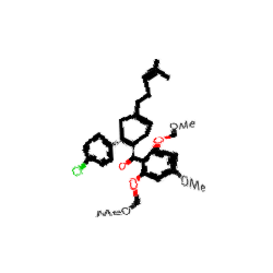 COCOc1cc(OC)cc(OCOC)c1C(=O)[C@@H]1CC=C(CCC=C(C)C)C[C@H]1c1ccc(Cl)cc1